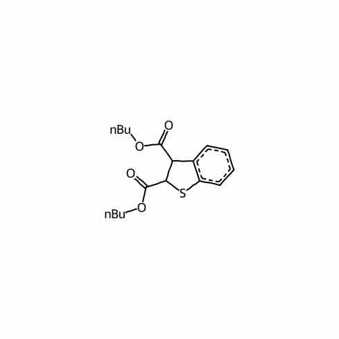 CCCCOC(=O)C1Sc2ccccc2C1C(=O)OCCCC